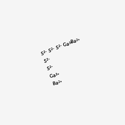 [Ba+2].[Ba+2].[Ga+3].[Ga+3].[S-2].[S-2].[S-2].[S-2].[S-2]